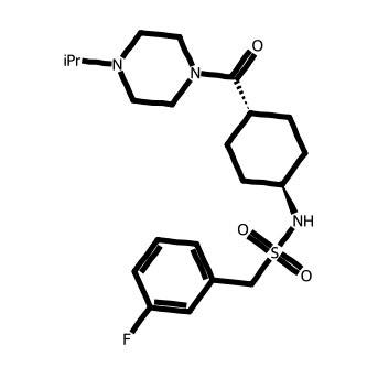 CC(C)N1CCN(C(=O)[C@H]2CC[C@H](NS(=O)(=O)Cc3cccc(F)c3)CC2)CC1